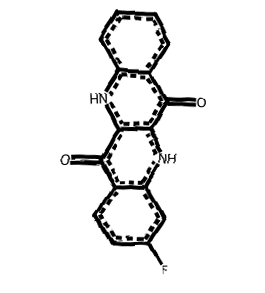 O=c1c2ccccc2[nH]c2c(=O)c3ccc(F)cc3[nH]c12